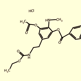 CCOC(=O)NCCc1cc(OC(C)=O)c(NC)c(OC(=O)c2ccccc2)c1.Cl